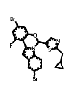 Fc1cc(Br)cc2c1-c1cc3cc(Br)ccc3n1C(c1cnc(CC3CC3)s1)O2